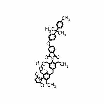 CCc1cc(Cc2cc(CC)c(N3C(=O)c4ccc(Oc5ccc(C(C)(C)c6ccc(C)cc6)cc5)cc4C3=O)c(CC)c2)cc(CC)c1N1C(=O)C=CC1=O